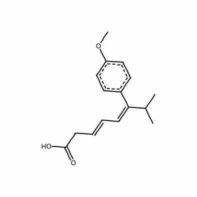 COc1ccc(/C(=C\C=C\CC(=O)O)C(C)C)cc1